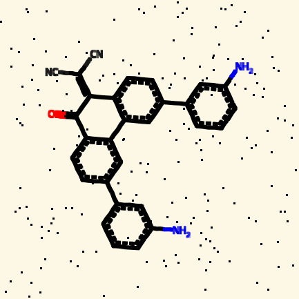 N#CC(C#N)=C1C(=O)c2ccc(-c3cccc(N)c3)cc2-c2cc(-c3cccc(N)c3)ccc21